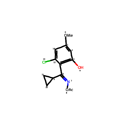 COc1cc(O)c(C(=NOC(C)=O)C2CC2)c(Cl)c1